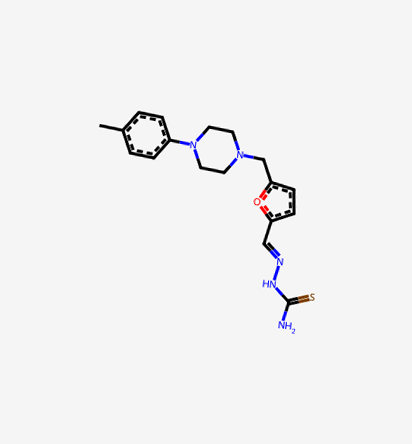 Cc1ccc(N2CCN(Cc3ccc(/C=N/NC(N)=S)o3)CC2)cc1